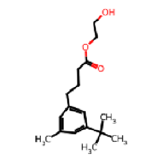 Cc1cc(CCCC(=O)OCCO)cc(C(C)(C)C)c1